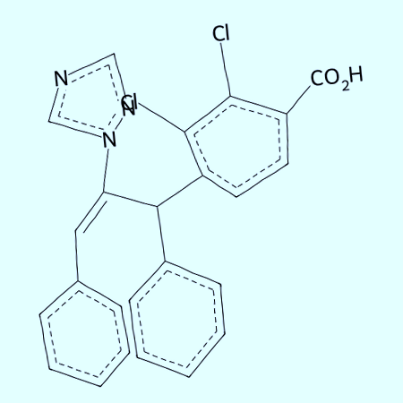 O=C(O)c1ccc(C(/C(=C\c2ccccc2)n2cncn2)c2ccccc2)c(Cl)c1Cl